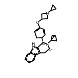 C[C@@H]1Cc2c([nH]c3ccccc23)[C@@H](C2C=CC(OC3CN(C4CC4)C3)=CC2)N1C12CC(C1)C2